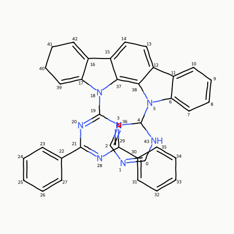 C1=NC=NC(n2c3ccccc3c3ccc4c5c(n(-c6nc(-c7ccccc7)nc(-c7ccccc7)n6)c4c32)=CCCC=5)N1